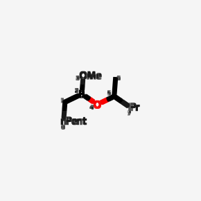 CCCCCCB(OC)OC(C)C(C)C